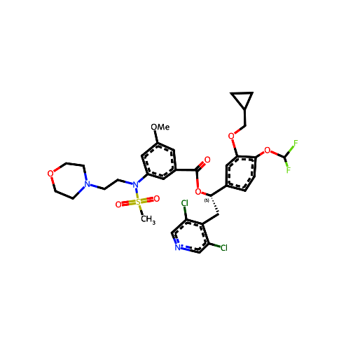 COc1cc(C(=O)O[C@@H](Cc2c(Cl)cncc2Cl)c2ccc(OC(F)F)c(OCC3CC3)c2)cc(N(CCN2CCOCC2)S(C)(=O)=O)c1